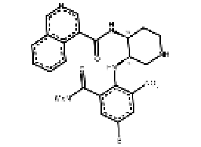 CNC(=O)c1cc(Br)cc([N+](=O)[O-])c1N[C@@H]1CNCC[C@@H]1NC(=O)c1cncc2ccccc12